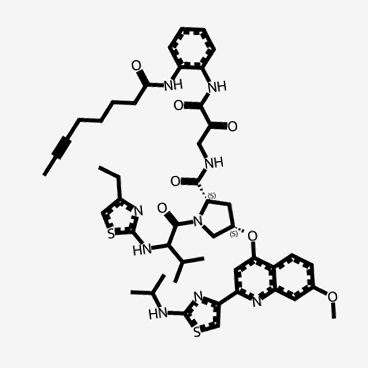 CC#CCCCCC(=O)Nc1ccccc1NC(=O)C(=O)CNC(=O)[C@@H]1C[C@H](Oc2cc(-c3csc(NC(C)C)n3)nc3cc(OC)ccc23)CN1C(=O)C(Nc1nc(CC)cs1)C(C)C